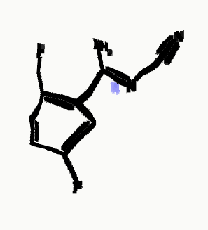 N#C/N=C(\N)c1cc(F)ccc1F